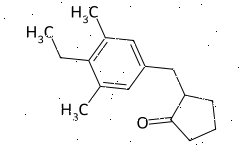 CCc1c(C)cc(CC2CCCC2=O)cc1C